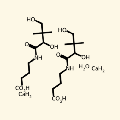 CC(C)(CO)C(O)C(=O)NCCCC(=O)O.CC(C)(CO)C(O)C(=O)NCCCC(=O)O.O.[CaH2].[CaH2]